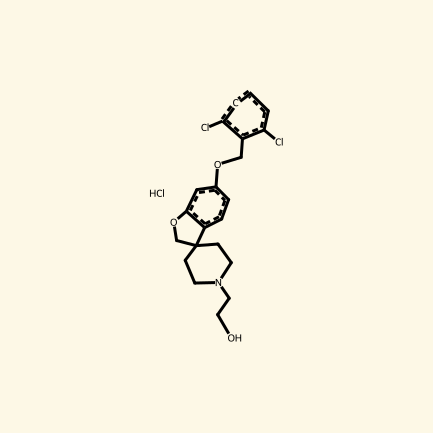 Cl.OCCN1CCC2(CC1)COc1cc(OCc3c(Cl)cccc3Cl)ccc12